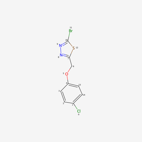 Clc1ccc(OCc2nnc(Br)s2)cc1